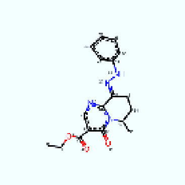 CCOC(=O)c1cnc2n(c1=O)C(C)CCC2=NNc1ccccc1